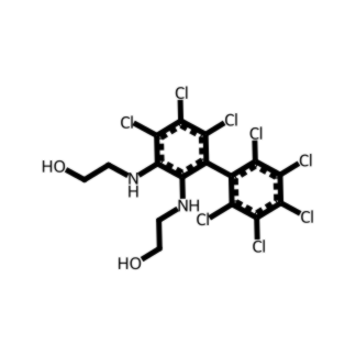 OCCNc1c(Cl)c(Cl)c(Cl)c(-c2c(Cl)c(Cl)c(Cl)c(Cl)c2Cl)c1NCCO